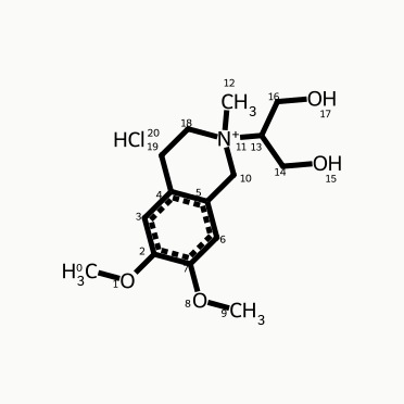 COc1cc2c(cc1OC)C[N+](C)(C(CO)CO)CC2.Cl